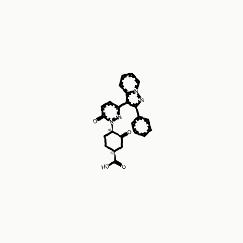 O=C(O)[C@H]1CC[C@@H](n2nc(-c3c(-c4ccccc4)nn4ccccc34)ccc2=O)C(=O)C1